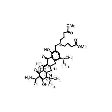 COC(=O)CCCN(CCCC(=O)OC)Cc1cc(N(C)C)c2c(c1O)C(=O)C1=C(O)[C@]3(O)C(=O)C(C(N)=O)=C(O)[C@H](N(C)C)[C@@H]3C[C@@H]1C2